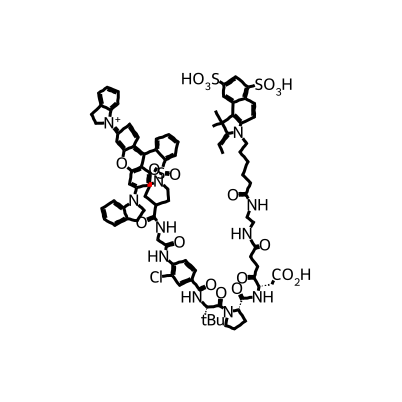 C/C=C1\N(CCCCCC(=O)NCCNC(=O)CCC(=O)[C@H](CC(=O)O)NC(=O)[C@@H]2CCCN2C(=O)[C@@H](NC(=O)c2ccc(NC(=O)CNC(=O)C3CCN(S(=O)(=O)c4ccccc4-c4c5cc/c(=[N+]6/CCc7ccccc76)cc-5oc5cc(N6CCc7ccccc76)ccc45)CC3)c(Cl)c2)C(C)(C)C)c2ccc3c(S(=O)(=O)O)cc(S(=O)(=O)O)cc3c2C1(C)C